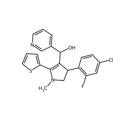 CN1CC(c2ccc(Cl)cc2F)C(C(O)c2cccnc2)=C1c1cccs1